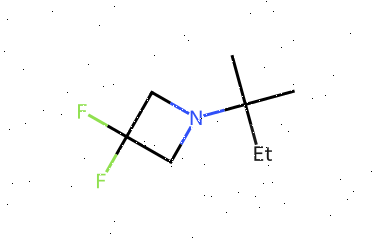 CCC(C)(C)N1CC(F)(F)C1